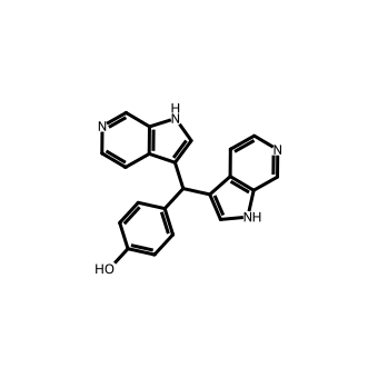 Oc1ccc(C(c2c[nH]c3cnccc23)c2c[nH]c3cnccc23)cc1